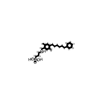 Cc1cc(CCCCCCc2ccccc2)c(F)cc1CNCCCP(=O)(O)O